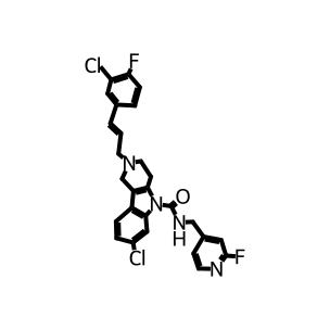 O=C(NCc1ccnc(F)c1)n1c2c(c3ccc(Cl)cc31)CN(CC=Cc1ccc(F)c(Cl)c1)CC2